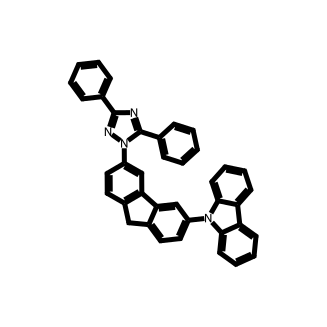 c1ccc(-c2nc(-c3ccccc3)n(-c3ccc4c(c3)-c3cc(-n5c6ccccc6c6ccccc65)ccc3C4)n2)cc1